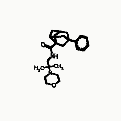 CC(C)(CNC(=O)C12CC3CC1CC(c1ccccc1)(C3)C2)N1CCOCC1